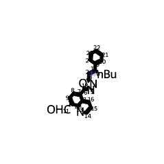 CCCC/C(=C\c1nnc(-c2ccc(C=O)c3ncccc23)o1)c1ccccc1